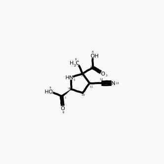 CC1(C(=O)O)N[C@H](C(=O)O)CC1C#N